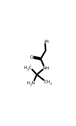 CC(C)CC(=O)NC(C)(C)N